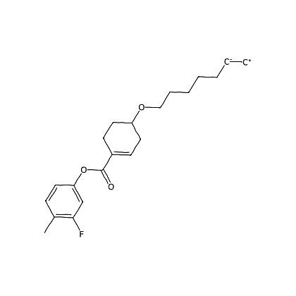 [CH2+][CH-]CCCCCOC1CC=C(C(=O)Oc2ccc(C)c(F)c2)CC1